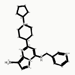 Bc1cnn2c(NCc3cccnc3)cc(C3CCN(C4CCCC4)CC3)nc12